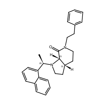 C[C@H](c1cccc2ccccc12)N1CC[C@H]2CCN(CCc3ccccc3)C(=O)[C@H]21